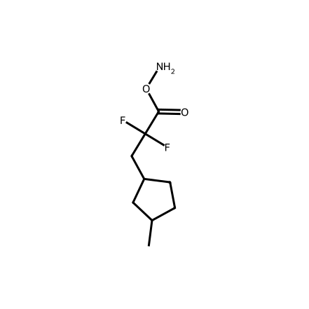 CC1CCC(CC(F)(F)C(=O)ON)C1